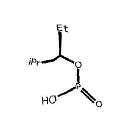 CCC(O[P](=O)O)C(C)C